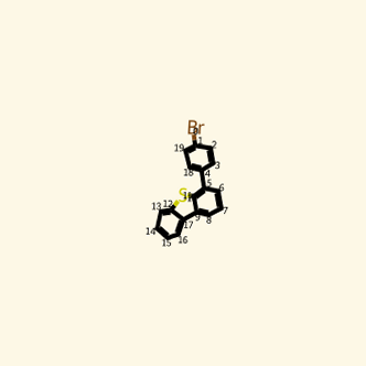 Brc1ccc(-c2cccc3c2sc2ccccc23)cc1